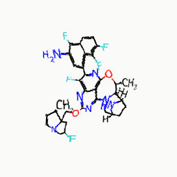 C=C1CCN2C[C@H](F)CC12COc1nc2c3c(nc(-c4cc(N)c(F)c5ccc(F)c(F)c45)c(F)c3n1)O[C@@H](C)[C@@H]1[C@@H]3CC[C@H](CN21)N3